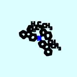 CC(C)(C)c1cc(N(c2ccc3c(c2)C(C)(C)c2ccccc2-3)c2ccc3c(c2)C2(CCCC2)c2ccccc2-3)c2ccccc2c1